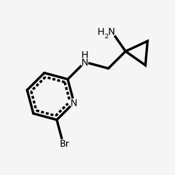 NC1(CNc2cccc(Br)n2)CC1